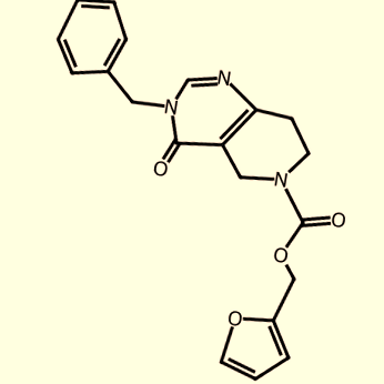 O=C(OCc1ccco1)N1CCc2ncn(Cc3ccccc3)c(=O)c2C1